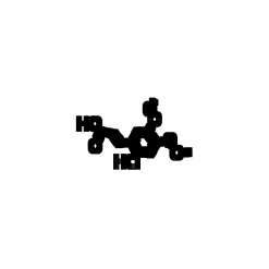 COOc1ccc(C=CC(=O)O)cc1OOC.Cl